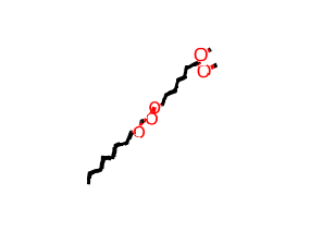 CCCCCCCCOCOOCCCCCCC(OC)OC